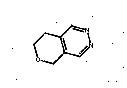 [c]1nncc2c1CCOC2